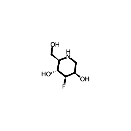 OC[C@H]1NC[C@@H](O)[C@@H](F)[C@@H]1O